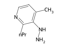 CCCc1nccc(C)c1NN